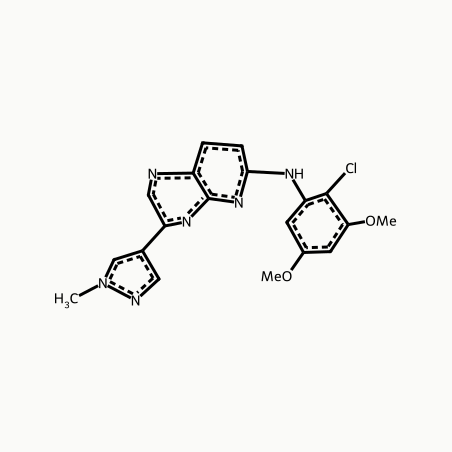 COc1cc(Nc2ccc3ncc(-c4cnn(C)c4)nc3n2)c(Cl)c(OC)c1